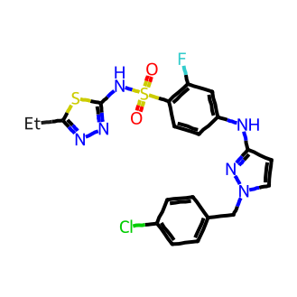 CCc1nnc(NS(=O)(=O)c2ccc(Nc3ccn(Cc4ccc(Cl)cc4)n3)cc2F)s1